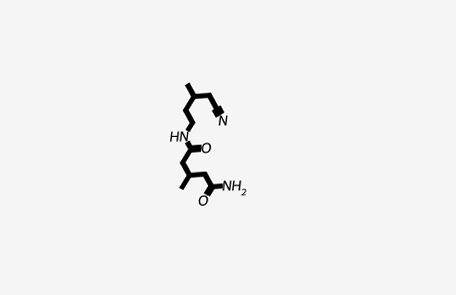 CC(CC#N)CCNC(=O)CC(C)CC(N)=O